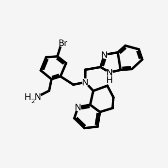 NCc1ccc(Br)cc1CN(Cc1nc2ccccc2[nH]1)C1CCCc2cccnc21